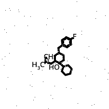 CN(C)CC1CC(Cc2ccc(F)cc2)CCC1(O)C1CCCCC1